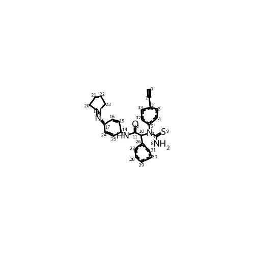 C#Cc1ccc(N(C(N)=S)C(C(=O)NC2C=CC(=NN3CCCC3)C=C2)c2ccccc2)cc1